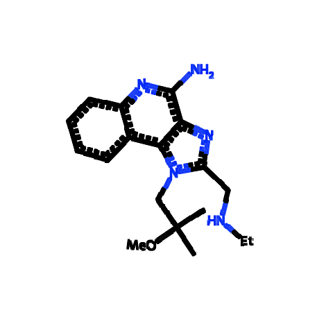 CCNCc1nc2c(N)nc3ccccc3c2n1CC(C)(C)OC